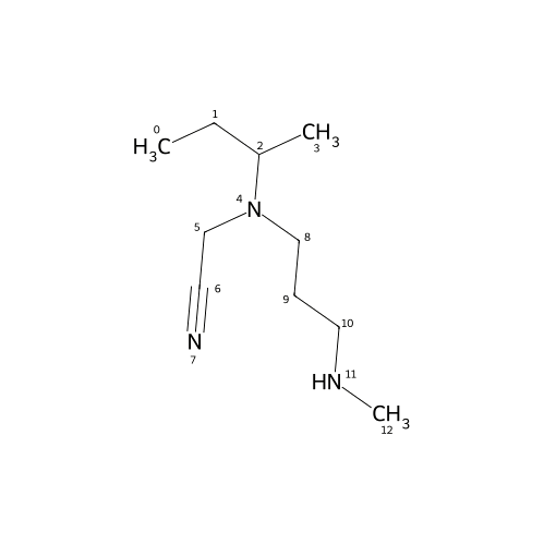 CCC(C)N(CC#N)CCCNC